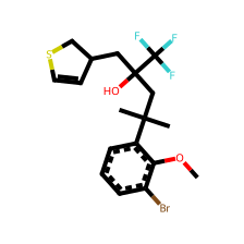 COc1c(Br)cccc1C(C)(C)CC(O)(CC1C=CSC1)C(F)(F)F